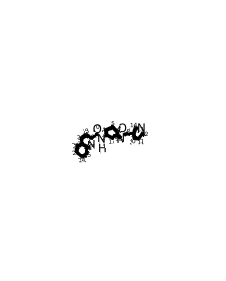 O=C(Nc1ccc2oc(-c3cccnc3)nc2c1)c1ccc2ccccc2n1